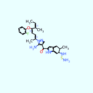 C\C=C(C)/C(=C\C=C(/C)n1ncc(C(=O)c2cc3c([nH]2)=CC(NSN)C(C)C=3)c1N)Oc1ccccc1F